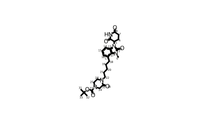 Cn1c(=O)n(C2CCC(=O)NC2=O)c2cccc(CCCCCN3CCN(C(=O)OC(C)(C)C)CC3=O)c21